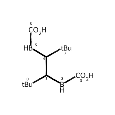 CC(C)(C)C(BC(=O)O)C(BC(=O)O)C(C)(C)C